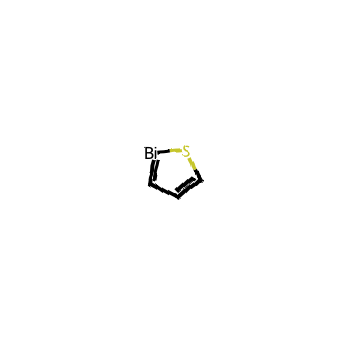 C1=C[S][Bi]=[CH]1